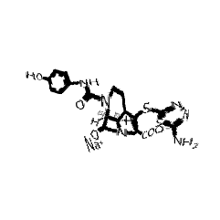 Nc1nnc(SC2=C(C(=O)[O-])N3C(=O)[C@@H]4[C@H]3C2CCN4C(=O)Nc2ccc(O)cc2)s1.[Na+]